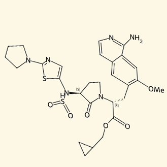 COc1cc2c(N)nccc2cc1C[C@H](C(=O)OCC1CC1)N1CC[C@H](N(c2cnc(N3CCCC3)s2)[SH](=O)=O)C1=O